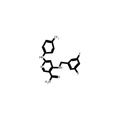 NC(=O)c1cnc(Nc2ccc(C(F)(F)F)cc2)cc1NCc1cc(F)cc(F)c1